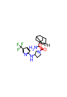 NC(=O)C12CC3CC(C1)C(OC(=O)N1CCC(Nc4ccc(C(F)(F)F)cn4)C1)[C@H](C3)C2